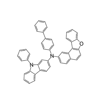 c1ccc(-c2ccc(N(c3ccc4ccc5oc6ccccc6c5c4c3)c3ccc4c5ccccc5n(-c5ccccc5)c4c3)cc2)cc1